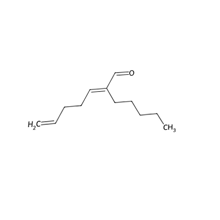 C=CCC/C=C(/C=O)CCCCC